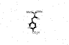 CSN(SC)C(=S)Cc1ccc(C(=O)O)nc1